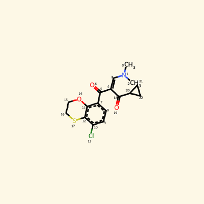 CN(C)C=C(C(=O)c1ccc(Cl)c2c1OCCS2)C(=O)C1CC1